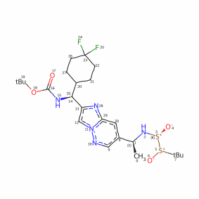 C[C@H](N[S@@+]([O-])[S+]([O-])C(C)(C)C)c1cnn2cc([C@@H](NC(=O)OC(C)(C)C)C3CCC(F)(F)CC3)nc2c1